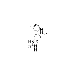 CCN[C@]1(c2cccc(C)c2)CC[C@]2(CC1)CNC(=O)N2